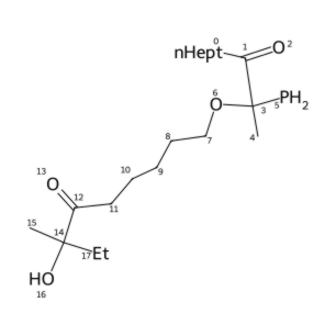 CCCCCCCC(=O)C(C)(P)OCCCCCC(=O)C(C)(O)CC